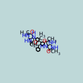 C=C(c1ccccc1)c1cc(NC23CC(=O)[C@H](C)NCC2N[C@@H](C)C(=O)C3)ccc1-c1ccc(NC23CC(=O)[C@H](C)NCC2N[C@@H](C)C(=O)C3)cc1C